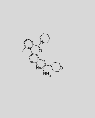 Cc1cccc(C(=O)N2CCCCC2)c1-c1ccc2nc(N)c(N3CCOCC3)cc2c1